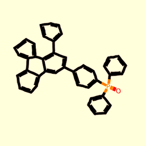 O=P(c1ccccc1)(c1ccccc1)c1ccc(-c2cc(-c3ccccc3)c3c4ccccc4c4ccccc4c3c2)cc1